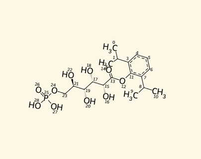 CC(C)c1cccc(C(C)C)c1OC(=O)[C@H](O)[C@@H](O)[C@H](O)[C@H](O)COP(=O)(O)O